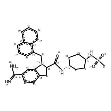 CS(=O)(=O)N[C@H]1CC[C@H](NC(=O)C2Cc3ccc(C(=N)N)cc3N2Cc2cccc3ccccc23)CC1